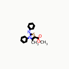 COC(=O)c1sc(=Nc2ccccc2)n(-c2ccccc2)c1C